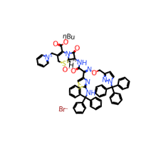 CCCCOC(=O)C1=C(C[n+]2ccccc2)C[S+]([O-])[C@H]2[C@H](NC(=O)C(=NOCc3ccn(C(c4ccccc4)(c4ccccc4)c4ccccc4)n3)c3csc(NC(c4ccccc4)(c4ccccc4)c4ccccc4)n3)C(=O)N12.[Br-]